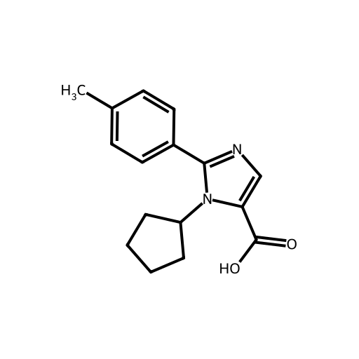 Cc1ccc(-c2ncc(C(=O)O)n2C2CCCC2)cc1